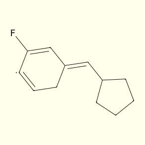 FC1=CC(=CC2CCCC2)CC=[C]1